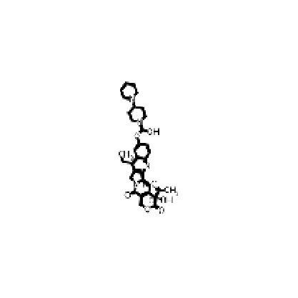 C=C(C)[C@@]1(O)C(=O)OCc2c1cc1n(c2=O)Cc2c-1nc1ccc(OC(O)N3CCC(N4CCCCC4)CC3)cc1c2CC